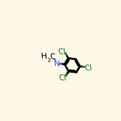 C=Nc1c(Cl)cc(Cl)cc1Cl